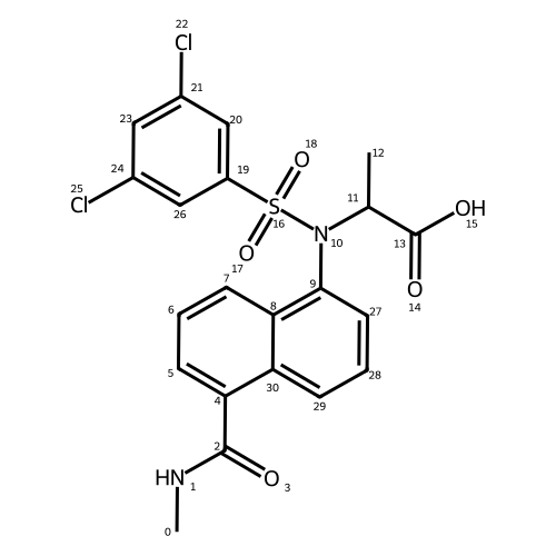 CNC(=O)c1cccc2c(N(C(C)C(=O)O)S(=O)(=O)c3cc(Cl)cc(Cl)c3)cccc12